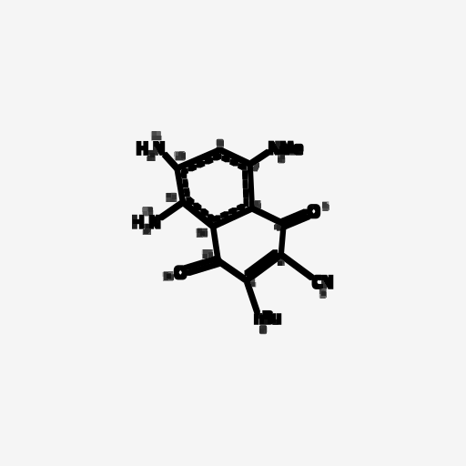 CCCCC1=C(C#N)C(=O)c2c(NC)cc(N)c(N)c2C1=O